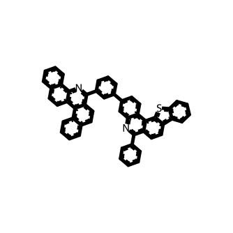 c1ccc(-c2nc3cc(-c4cccc(-c5nc6c7ccccc7ccc6c6c5ccc5ccccc56)c4)ccc3c3c2ccc2c4ccccc4sc23)cc1